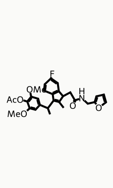 COc1cc(C(C)C2=C(C)C(CC(=O)NCc3ccco3)c3cc(F)ccc32)cc(OC)c1OC(C)=O